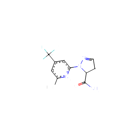 Cc1cc(C(F)(F)F)cc(N2N=CCC2C(N)=O)n1